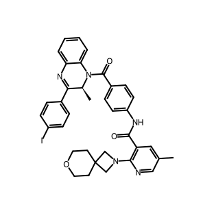 Cc1cnc(N2CC3(CCOCC3)C2)c(C(=O)Nc2ccc(C(=O)N3c4ccccc4N=C(c4ccc(I)cc4)[C@@H]3C)cc2)c1